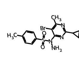 Cc1ccc(S(=O)(=O)N(N)c2nc(C3CC3)nc(C)c2Br)cc1